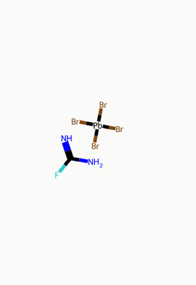 N=C(N)F.[Br][Pb]([Br])([Br])[Br]